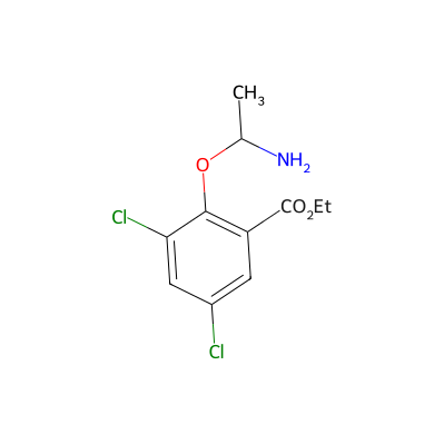 CCOC(=O)c1cc(Cl)cc(Cl)c1OC(C)N